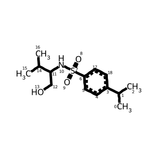 CC(C)c1ccc(S(=O)(=O)NC(CO)C(C)C)cc1